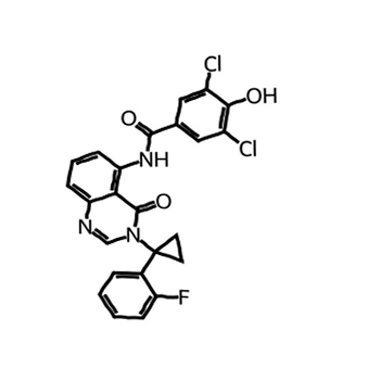 O=C(Nc1cccc2ncn(C3(c4ccccc4F)CC3)c(=O)c12)c1cc(Cl)c(O)c(Cl)c1